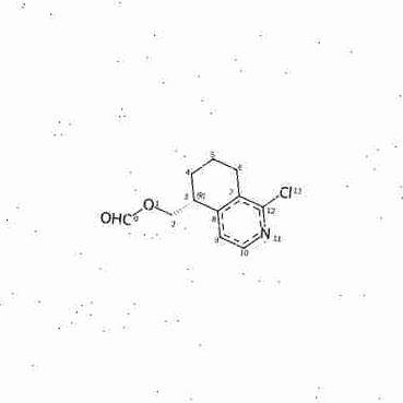 O=COC[C@@H]1CCCc2c1ccnc2Cl